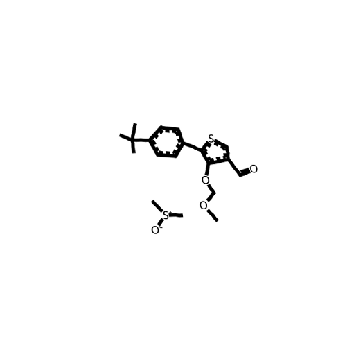 COCOc1c(C=O)csc1-c1ccc(C(C)(C)C)cc1.C[S+](C)[O-]